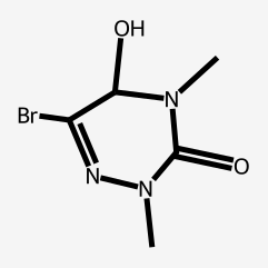 CN1N=C(Br)C(O)N(C)C1=O